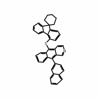 c1ccc2c(c1)-c1c(Sc3c4ccccc4c(-c4ccc5ccccc5c4)c4cnccc34)cccc1C21CCCCC1